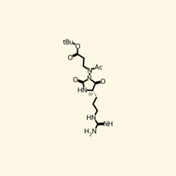 CC(=O)N(CCC(=O)OC(C)(C)C)N1C(=O)N[C@@H](CCCNC(=N)N)C1=O